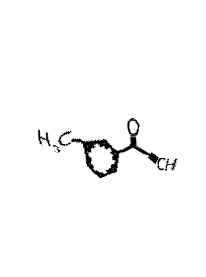 C#CC(=O)c1cccc(C)c1